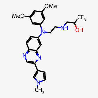 COc1cc(OC)cc(N(CCNCC(O)C(F)(F)F)c2ccc3ncc(-c4ccn(C)c4)nc3c2)c1